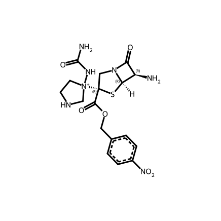 NC(=O)N[N+]1([C@]2(C(=O)OCc3ccc([N+](=O)[O-])cc3)CN3C(=O)[C@@H](N)[C@H]3S2)CCNC1